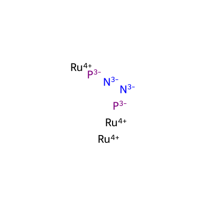 [N-3].[N-3].[P-3].[P-3].[Ru+4].[Ru+4].[Ru+4]